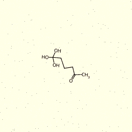 CC(=O)CCCC(O)(O)O